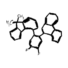 CC1(C)c2ccccc2-c2c(-c3cc(F)c(F)cc3-c3cc4ccccc4c4ccccc34)cccc21